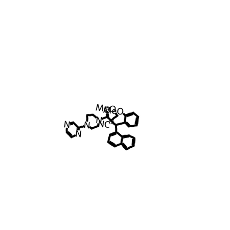 COC[C@](C#N)(C(=O)N1CCN(c2cnccn2)CC1)C(c1ccccc1OC)c1cccc2ccccc12